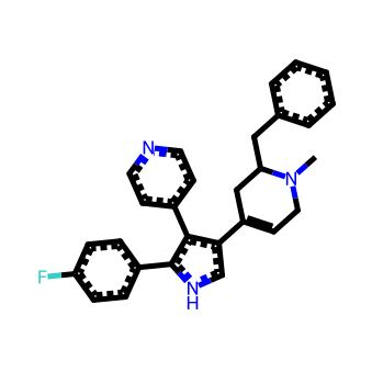 CN1CC=C(c2c[nH]c(-c3ccc(F)cc3)c2-c2ccncc2)CC1Cc1ccccc1